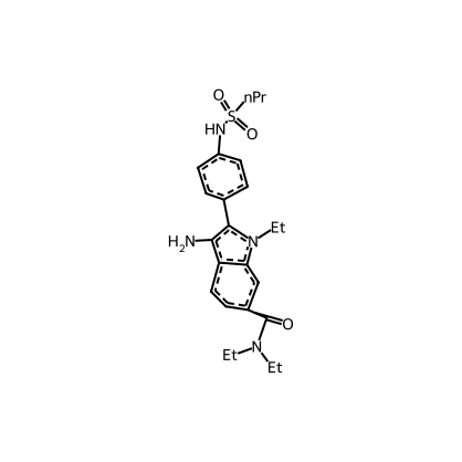 CCCS(=O)(=O)Nc1ccc(-c2c(N)c3ccc(C(=O)N(CC)CC)cc3n2CC)cc1